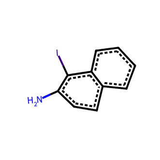 Nc1ccc2ccccc2c1I